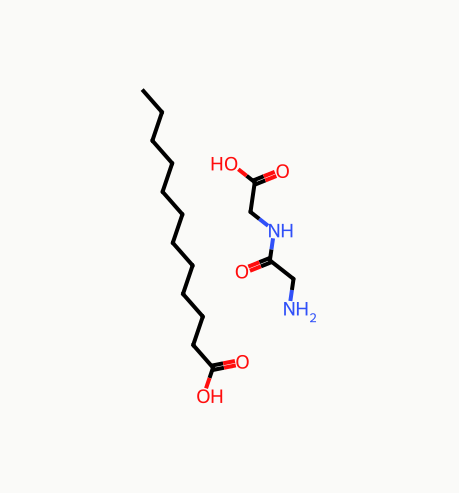 CCCCCCCCCCCC(=O)O.NCC(=O)NCC(=O)O